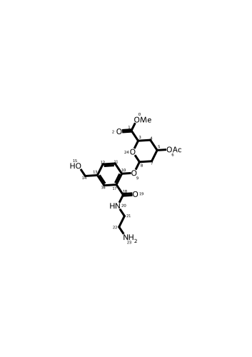 COC(=O)C1CC(OC(C)=O)CC(Oc2ccc(CO)cc2C(=O)NCCN)O1